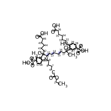 CCOC(=O)CCCCCN1\C(=C/C=C/C=C/CC(C)(C)c2cc(S(=O)(=O)O)ccc2NCCCCCC(=O)O)C(C)(CCCCCC(=O)O)c2cc(S(=O)(=O)O)ccc21